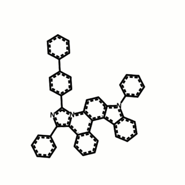 c1ccc(-c2ccc(-c3nc(-c4ccccc4)c4c5ccccc5c5c6c7ccccc7n(-c7ccccc7)c6ccc5n34)cc2)cc1